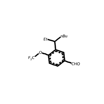 CCCCC(CC)c1cc(C=O)ccc1OC(F)(F)F